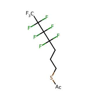 CC(=O)SCCCC(F)(F)C(F)(F)C(F)(F)C(F)(F)F